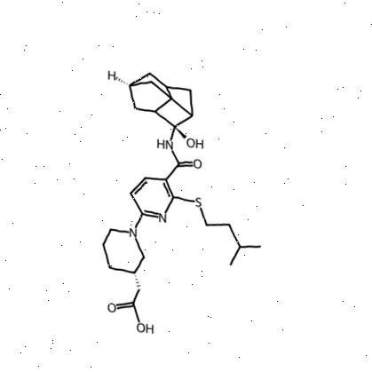 CC(C)CCSc1nc(N2CCC[C@@H](CC(=O)O)C2)ccc1C(=O)N[C@]1(O)C2CC3CC1C[C@H](C3)C2